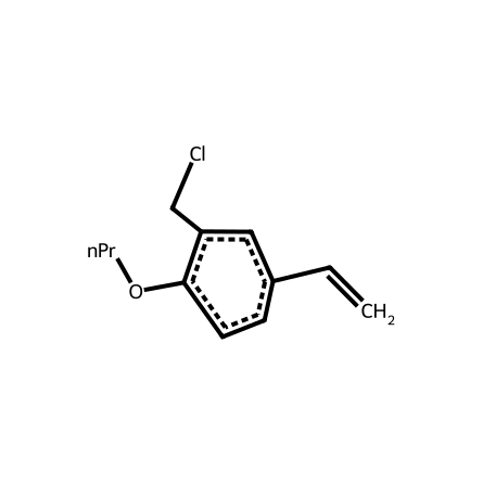 C=Cc1ccc(OCCC)c(CCl)c1